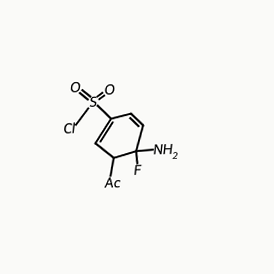 CC(=O)C1C=C(S(=O)(=O)Cl)C=CC1(N)F